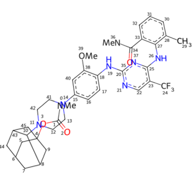 CNC(=O)OC12CC3CC(C1)C(N1CCN(c4ccc(Nc5ncc(C(F)(F)F)c(Nc6c(C)cccc6C(=O)NC)n5)c(OC)c4)CC1)C(C3)C2